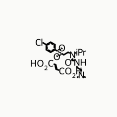 CC(C)N(CCS(=O)(=O)c1ccc(Cl)cc1)C(=O)NCCN(C)C.O=C(O)C=CC(=O)O